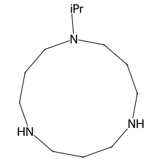 CC(C)N1CCCNCCCNCCC1